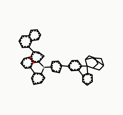 c1ccc(-c2ccccc2N(c2ccc(-c3ccc4c(c3)-c3ccccc3C43C4CC5CC(C4)CC3C5)cc2)c2ccc(-c3cccc4ccccc34)cc2)cc1